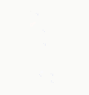 C=C(C)/N=C(\NN)c1ccc(N2CCN(C(C(=O)N(CC)CC)c3ccccc3)CC2)c(F)c1